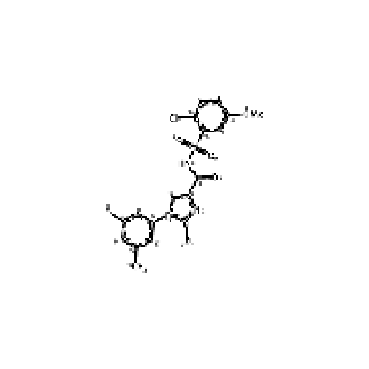 CCc1nc(C(=O)NS(=O)(=O)c2cc(OC)ccc2Cl)cn1-c1cc(F)cc(C(F)(F)F)c1